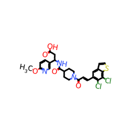 COc1ccc(C(CC(=O)O)NC(=O)C2CCN(C(=O)C=Cc3cc4ccsc4c(Cl)c3Cl)CC2)cn1